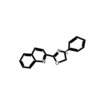 c1ccc([C@H]2COC(c3ccc4ccccc4n3)=N2)cc1